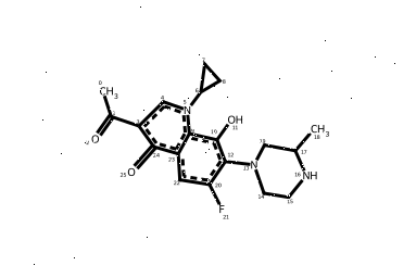 CC(=O)c1cn(C2CC2)c2c(O)c(N3CCNC(C)C3)c(F)cc2c1=O